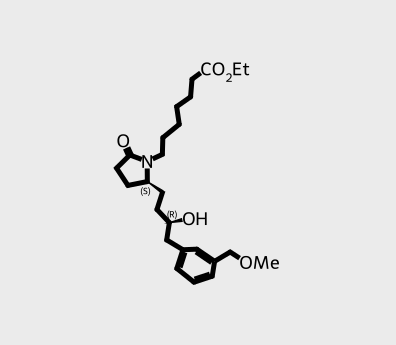 CCOC(=O)CCCCCCN1C(=O)CC[C@@H]1CC[C@@H](O)Cc1cccc(COC)c1